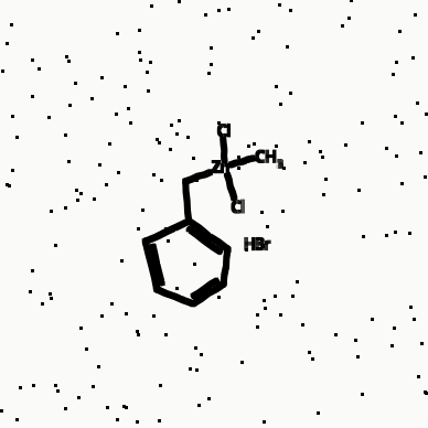 Br.[CH3][Zn]([Cl])([Cl])[CH2]c1ccccc1